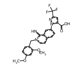 COc1ccc(Cn2ccc3ccc(-n4nc(C(F)(F)F)cc4C(=O)O)cc3c2=N)c(OC)c1